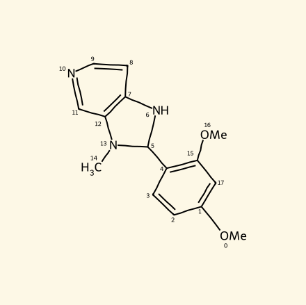 COc1ccc(C2Nc3ccncc3N2C)c(OC)c1